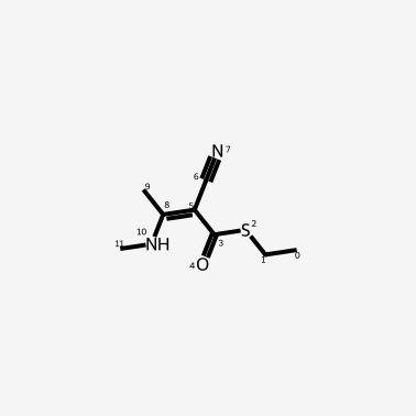 CCSC(=O)C(C#N)=C(C)NC